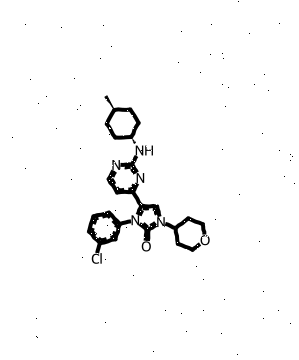 C[C@H]1CC[C@H](Nc2nccc(-c3cn(C4CCOCC4)c(=O)n3-c3cccc(Cl)c3)n2)CC1